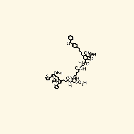 CCCCc1cc(-c2cccs2)n2c1C=C1C(CCC(=O)NC(CS(=O)(=O)O)C(=O)NCCCCC(=O)NCCNC(=O)c3cc(CCCCc4ccc(C(=O)c5ccccc5)cc4)c(OC)c4c3COB4O)=CC(c3cccs3)=[N+]1B2F